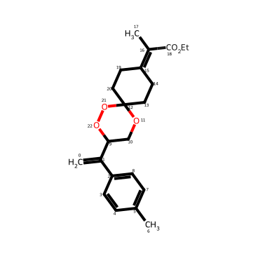 C=C(c1ccc(C)cc1)C1COC2(CCC(=C(C)C(=O)OCC)CC2)OO1